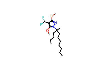 CCCCCCCC(C)(CCCC)n1nc(OC)c(C(F)F)c1OC